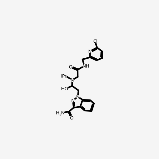 CC(C)N(CC(=O)NCc1cccc(Cl)n1)C(O)Cn1nc(C(N)=O)c2ccccc21